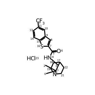 CC1(C)C(NC(=O)c2cc3cc(C(F)(F)F)ccc3s2)C2CCN1CC2.Cl